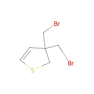 BrCC1(CBr)C=CSC1